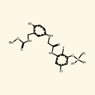 CCc1cc(NC(=S)CNc2ccc(C#N)c(CNC(=O)OC(C)(C)C)c2)c(F)c(O[Si](C(C)C)(C(C)C)C(C)C)c1